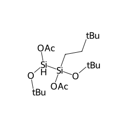 CC(=O)O[SiH](OC(C)(C)C)[Si](CCC(C)(C)C)(OC(C)=O)OC(C)(C)C